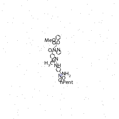 CCCCCOC(=O)/N=C(\N)c1ccc(NCc2nc3cc(C(=O)N(CCC(=O)Oc4ccccc4OC)c4ccccn4)ccc3n2C)cc1